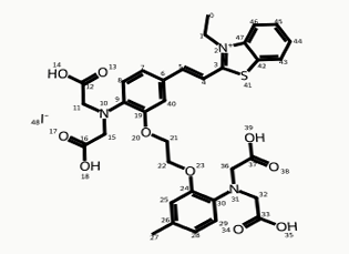 CC[n+]1c(/C=C/c2ccc(N(CC(=O)O)CC(=O)O)c(OCCOc3cc(C)ccc3N(CC(=O)O)CC(=O)O)c2)sc2ccccc21.[I-]